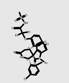 CCC(CC)(Oc1ccc(Cl)cc1[C@H]1CC(=O)N[C@@H](c2cc(Cl)ccc2C)[C@]12C(=O)N(C(C)=O)c1cc(Cl)ccc12)C(=O)NS(C)(=O)=O